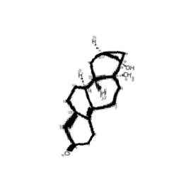 C[C@]12CCC3=C4CCC(=O)C=C4CC[C@H]3[C@@H]1C[C@H]1C[C@]12O